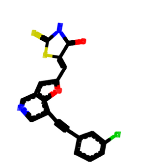 O=C1NC(=S)S/C1=C\c1cc2cncc(C#Cc3cccc(Cl)c3)c2o1